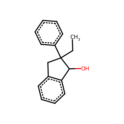 CCC1(c2ccccc2)Cc2ccccc2C1O